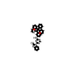 Clc1nc2ccccc2n1-c1ncnc(Nc2cccc(C(c3ncc[nH]3)C(c3ccccc3)(c3ccccc3)c3ccccc3)c2)n1